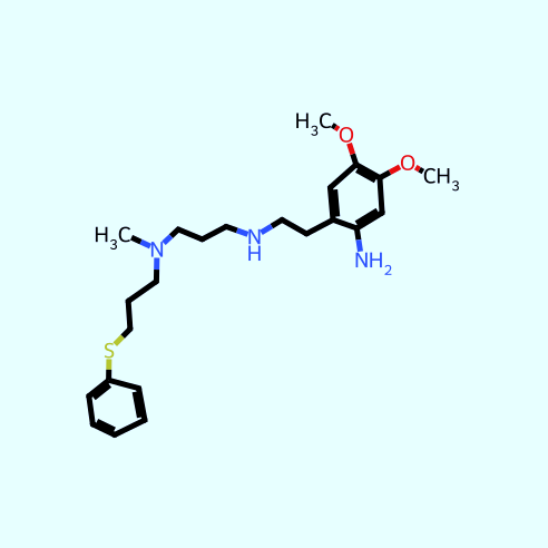 COc1cc(N)c(CCNCCCN(C)CCCSc2ccccc2)cc1OC